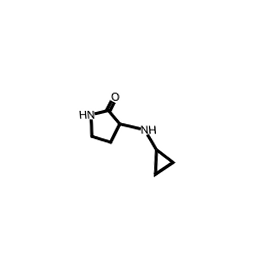 O=C1NCCC1NC1CC1